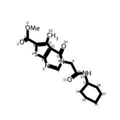 COC(=O)c1sc2ncn(CC(=O)NC3CCCCC3)c(=O)c2c1C